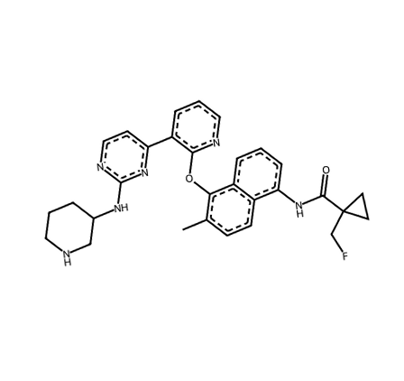 Cc1ccc2c(NC(=O)C3(CF)CC3)cccc2c1Oc1ncccc1-c1ccnc(NC2CCCNC2)n1